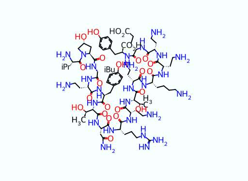 CC[C@H](C)[C@H](NC(=O)[C@@H]1C[C@@H](O)CN1C(=O)[C@@H](N)C(C)C)C(=O)N[C@@H](CCN)C(=O)N[C@@H](Cc1ccc(O)cc1)C(=O)N[C@H](C(=O)N[C@@H](CC(N)=O)C(=O)N[C@@H](CCCNC(=N)N)C(=O)N[C@@H](CCN)C(=O)N[C@H](C(=O)N[C@H](CCN)C(=O)N[C@@H](CCCCN)C(=O)N[C@@H](CCN)C(=O)N[C@@H](CCN)C(=O)N[C@@H](CCC(=O)O)C(=O)N[C@@H](Cc1ccc(O)cc1)C(=O)O)[C@@H](C)O)[C@@H](C)O